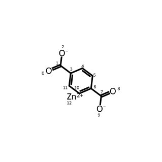 O=C([O-])c1ccc(C(=O)[O-])cc1.[Zn+2]